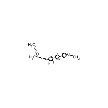 C=CCOc1ccc(-c2ncc(-c3ccc(/C=C/CCCC(C)OCCCCC)c(F)c3F)cn2)cc1